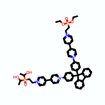 CCOP(=O)(CC[n+]1ccc(-c2cc[n+](-c3ccc(C4(c5ccc(-[n+]6ccc(-c7cc[n+](CCP(=O)(C(C)O)C(C)O)cc7)cc6)cc5)c5ccccc5-c5ccccc54)cc3)cc2)cc1)OCC